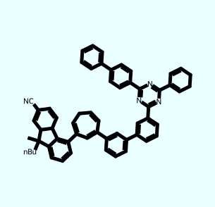 CCCCC1(C)c2cccc(C3=CCC=CC(c4cccc(-c5cccc(-c6nc(C7=CCCC=C7)nc(-c7ccc(-c8ccccc8)cc7)n6)c5)c4)=C3)c2C2C=CC(C#N)=CC21